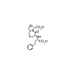 CC(C)CC1CSCC(NC(CCc2ccccc2)C(=O)O)C(=O)N1CC(=O)O